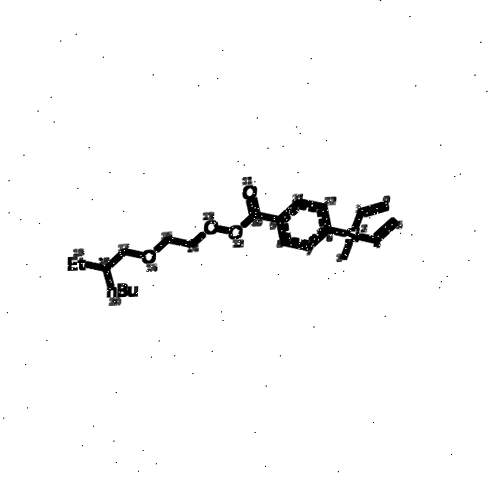 C=C[Si](C)(C=C)c1ccc(C(=O)OO[CH]COCC(CC)CCCC)cc1